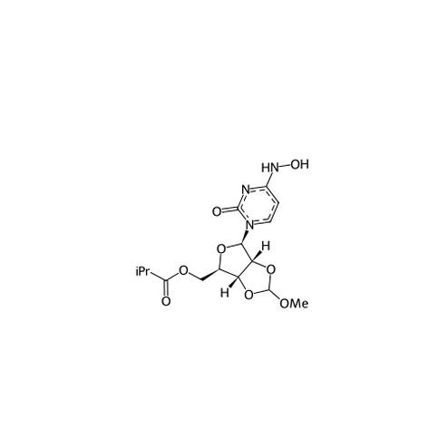 COC1O[C@@H]2[C@H](O1)[C@@H](COC(=O)C(C)C)O[C@H]2n1ccc(NO)nc1=O